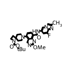 COc1ncc2c(N3CCC4(CC3)CCN4C(=O)OC(C)(C)C)ccc(C(=O)Nc3cc(F)c4nc(C)cn4c3)c2n1